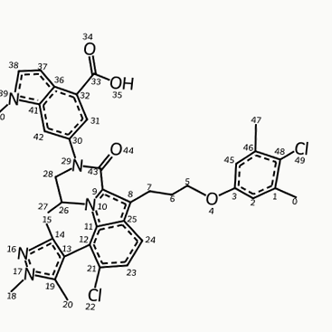 Cc1cc(OCCCc2c3n(c4c(-c5c(C)nn(C)c5C)c(Cl)ccc24)C(C)CN(c2cc(C(=O)O)c4ccn(C)c4c2)C3=O)cc(C)c1Cl